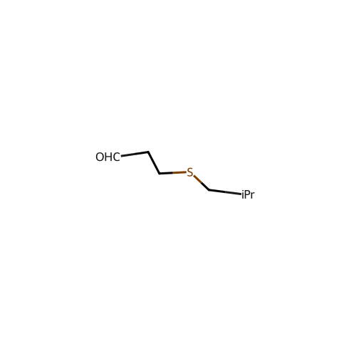 CC(C)CSCCC=O